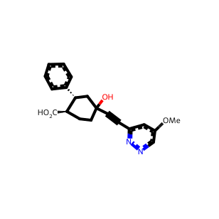 COc1cnnc(C#CC2(O)CC[C@@H](C(=O)O)[C@H](c3ccccc3)C2)c1